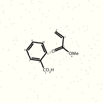 C=CC(=O)OC.O=C(O)c1ccccc1